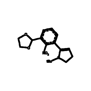 CC(C)(C)N1CCC=C1c1cccc(C2OCCO2)c1[N+](=O)[O-]